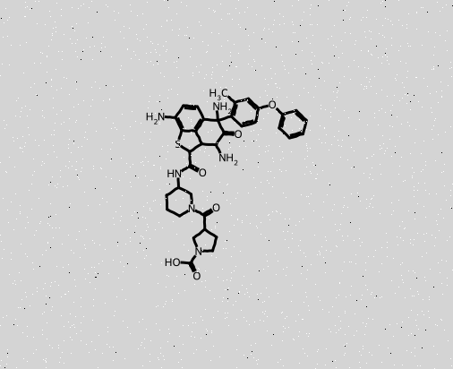 Cc1cc(Oc2ccccc2)ccc1C1(N)C(=O)C(N)C2c3c1ccc(N)c3SC2C(=O)NC1CCCN(C(=O)C2CCN(C(=O)O)C2)C1